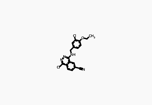 CCOc1ccc(CNc2nnc(Cl)c3ccc(C#N)cc23)cc1Cl